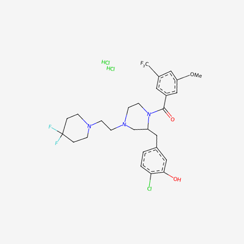 COc1cc(C(=O)N2CCN(CCN3CCC(F)(F)CC3)CC2Cc2ccc(Cl)c(O)c2)cc(C(F)(F)F)c1.Cl.Cl